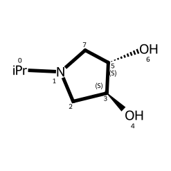 CC(C)N1C[C@H](O)[C@@H](O)C1